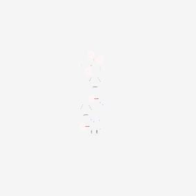 CCCCC(NC(=O)Cc1ccc(OC(C)(C)C(=O)OCC)cc1)c1ccccc1NC(C)=O